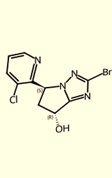 O[C@@H]1C[C@@H](c2ncccc2Cl)n2nc(Br)nc21